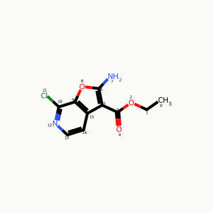 CCOC(=O)c1c(N)oc2c(Cl)nccc12